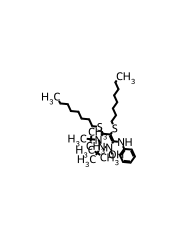 CCCCCCCCSC1=C(Nc2ccccc2)N(O)N(C(C)(C)C)N(C(C)(C)C)C1SCCCCCCCC